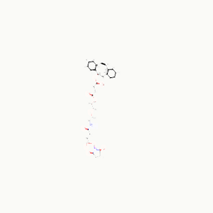 O=C(CCC(=O)ON1C(=O)CCC1=O)NCCOCCOC(=O)CCC(=O)OC1Cc2ccccc2C#Cc2ccccc21